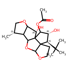 CC(=O)OC1[C@H](O)[C@@H](C(C)(C)C)C23CCOC2OC2C4C(OC[C@H]4C)[C@H](O)C213